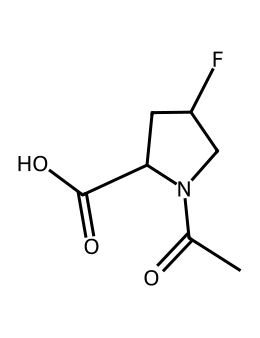 CC(=O)N1CC(F)CC1C(=O)O